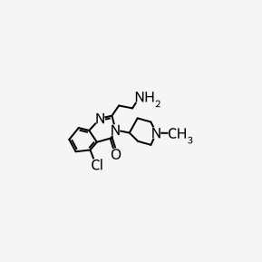 CN1CCC(n2c(CCN)nc3cccc(Cl)c3c2=O)CC1